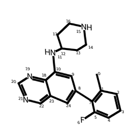 Cc1cccc(F)c1-c1cc(NC2CCNCC2)c2ncncc2c1